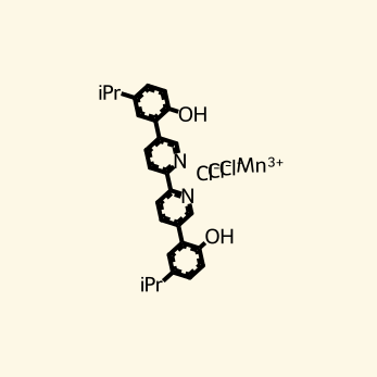 CC(C)c1ccc(O)c(-c2ccc(-c3ccc(-c4cc(C(C)C)ccc4O)cn3)nc2)c1.[Cl-].[Cl-].[Cl-].[Mn+3]